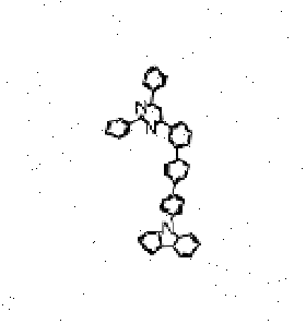 C1=CC2c3ccccc3N(c3ccc(-c4ccc(-c5cccc(-c6cc(-c7ccccc7)nc(-c7ccccc7)n6)c5)cc4)cc3)C2C=C1